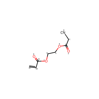 [C-]#[N+]CC(=O)OCCOC(=O)C=C